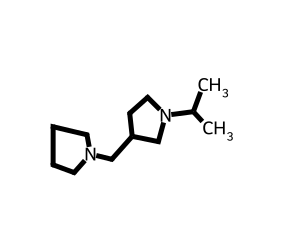 CC(C)N1CCC(CN2CCCC2)C1